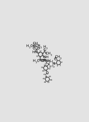 COc1ccccc1N1CCC(CNC(=O)Nc2c(C(C)C)cc(NC(=O)OC(C)(C)C)cc2C(C)C)(c2cccc(OCc3ccccc3)c2)CC1